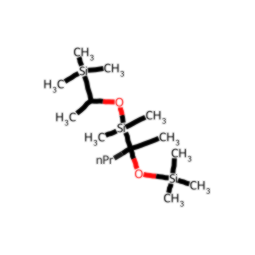 CCCC(C)(O[Si](C)(C)C)[Si](C)(C)OC(C)[Si](C)(C)C